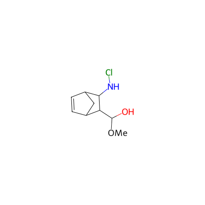 COC(O)C1C2C=CC(C2)C1NCl